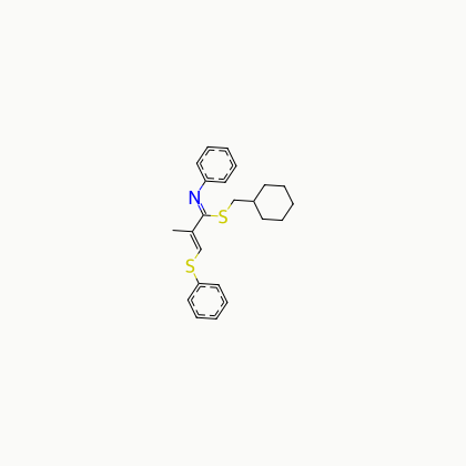 CC(=C\Sc1ccccc1)/C(=N/c1ccccc1)SCC1CCCCC1